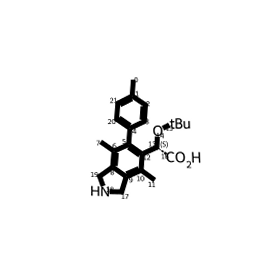 Cc1ccc(-c2c(C)c3c(c(C)c2[C@H](OC(C)(C)C)C(=O)O)CNC3)cc1